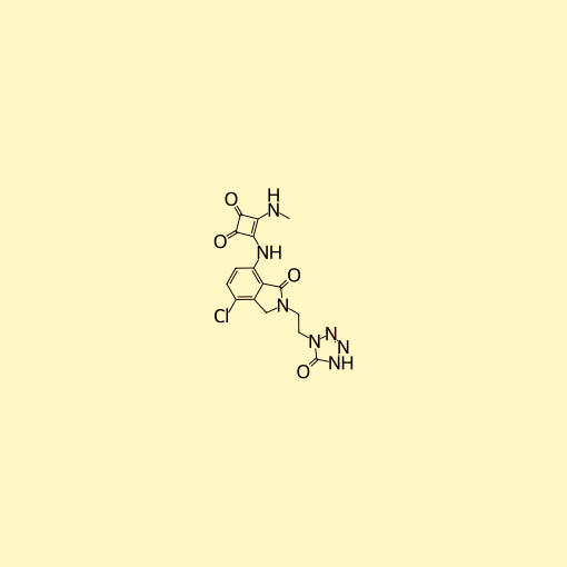 CNc1c(Nc2ccc(Cl)c3c2C(=O)N(CCn2nn[nH]c2=O)C3)c(=O)c1=O